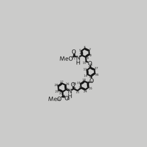 COC(=O)Nc1ccccc1COc1ccc(Oc2ccc(CC(=O)Nc3ccccc3C(=O)OC)cc2)cc1